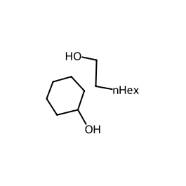 CCCCCCCCO.OC1CCCCC1